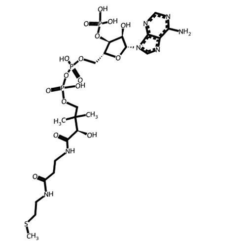 CSCCNC(=O)CCNC(=O)[C@H](O)C(C)(C)COP(=O)(O)OP(=O)(O)OC[C@H]1O[C@@H](n2cnc3c(N)ncnc32)[C@H](O)[C@@H]1OP(=O)(O)O